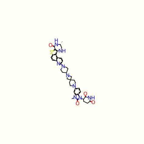 C[C@@H]1CNc2c(sc3ccc4nc(N5CCC(N6CC7(CCN(c8ccc9c(c8)n(C)c(=O)n9C8CCC(=O)NC8=O)CC7)C6)CC5)ccc4c23)C(=O)N1